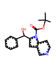 CC(C)(C)OC(=O)n1c(C(O)c2ccccc2)cc2cnccc21